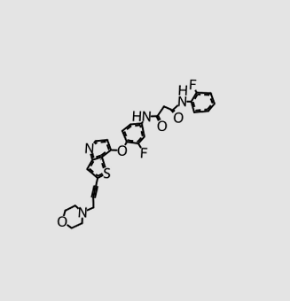 O=C(CC(=O)Nc1ccccc1F)Nc1ccc(Oc2ccnc3cc(C#CCN4CCOCC4)sc23)c(F)c1